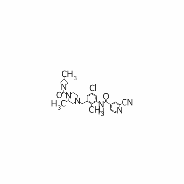 Cc1c(CN2CCN(C(=O)N3CC(C)C3)C(C)C2)cc(Cl)cc1NC(=O)c1ccnc(C#N)c1